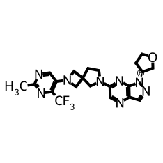 Cc1ncc(N2CC3(CCN(c4cnc5cnn([C@@H]6CCOC6)c5n4)C3)C2)c(C(F)(F)F)n1